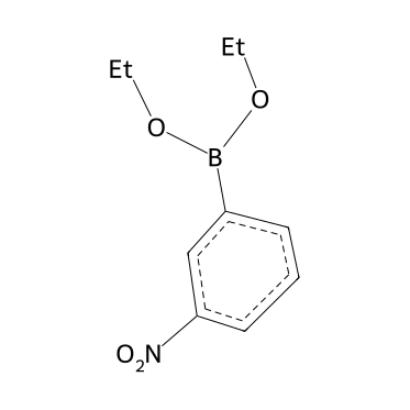 CCOB(OCC)c1cccc([N+](=O)[O-])c1